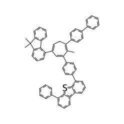 CC1=C(c2ccc(-c3ccccc3)cc2)CC=C(c2cccc3c2-c2ccccc2C3(C)C)C=C1c1ccc(-c2cccc3c2sc2c(-c4ccccc4)cccc23)cc1